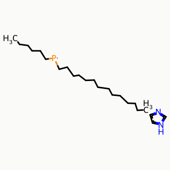 CCCCCCCCCCCCCC[P]CCCCCC.c1c[nH]cn1